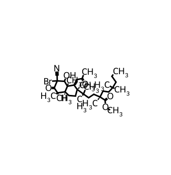 CCCC(C)(C)CC[C@@](C)(CCC(C)(C)[C@]1(C)CC[C@H]2C(C)(C)C(=O)C(Br)(C#N)C(O)[C@]2(C)/C1=C/C(C)=O)C(=O)OC